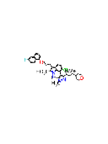 CCc1c(-c2c(Cl)ccc3c(CCCOc4cccc5cc(F)ccc45)c(C(=O)O)[nH]c23)c(C(CCC2CCOCC2)NC)nn1C